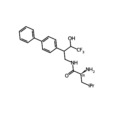 CC(C)C[C@H](N)C(=O)NCC(c1ccc(-c2ccccc2)cc1)C(O)C(F)(F)F